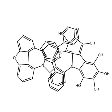 Oc1c(O)c(O)c2c(c1O)c1c(O)c(O)c(O)c(O)c1n2-c1cccc2c1c1ccccc1n2-c1cccc2oc3cccc(-c4nc(-c5ccccc5)nc(-c5ccccc5)n4)c3c12